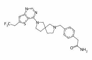 NC(=O)Cc1ccc(CN2CCC3(CCN(c4ncnc5cc(CC(F)(F)F)sc45)C3)C2)cc1